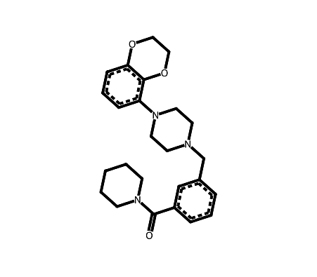 O=C(c1cccc(CN2CCN(c3cccc4c3OCCO4)CC2)c1)N1CCCCC1